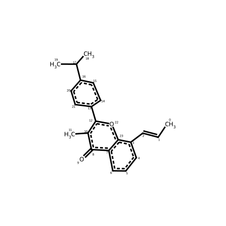 CC=Cc1cccc2c(=O)c(C)c(-c3ccc(C(C)C)cc3)oc12